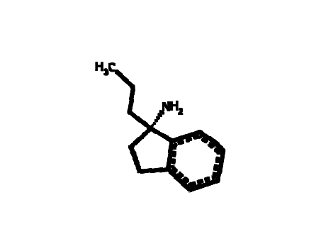 CCC[C@]1(N)CCc2ccccc21